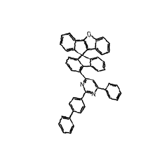 c1ccc(-c2ccc(-c3nc(-c4ccccc4)cc(-c4cccc5c4-c4ccccc4C54c5ccccc5-c5oc6ccccc6c54)n3)cc2)cc1